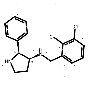 Clc1cccc(CN[C@H]2CCN[C@H]2c2ccccc2)c1Cl